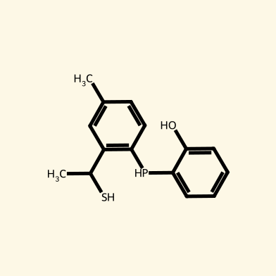 Cc1ccc(Pc2ccccc2O)c(C(C)S)c1